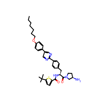 CCCCCCCOc1ccc(-c2cnc(-c3ccc(C[C@H](NC(=O)c4ccc(C(C)(C)C)s4)C(=O)N4CC[C@@H](N)C4)cc3)nc2)cc1